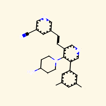 Cc1cc(C)cc(-c2cncc(C=Cc3cncc(C#N)c3)c2N2CCC(N)CC2)c1